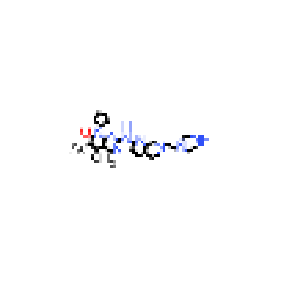 CC(=O)c1c(C)c2cnc(Nc3ccc4c(n3)CN(CCN3CCNCC3)CC4)nc2n(C2CCCC2)c1=O